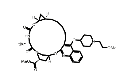 COCCN1CCC(Oc2c3c(nc4ccccc24)O[C@@H]2C[C@@H](C(=O)OC)N(C2)C(=O)[C@H](C(C)(C)C)NC(=O)O[C@@H]2C[C@H]2CCCCC3)CC1